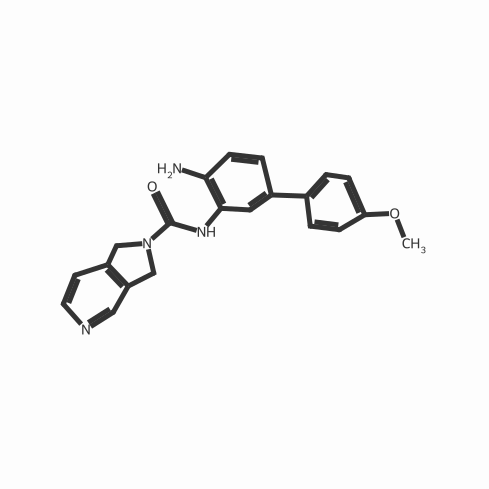 COc1ccc(-c2ccc(N)c(NC(=O)N3Cc4ccncc4C3)c2)cc1